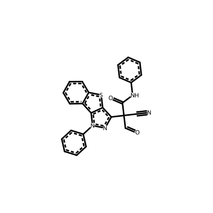 N#CC(C=O)(C(=O)Nc1ccccc1)c1nn(-c2ccccc2)c2c1sc1ccccc12